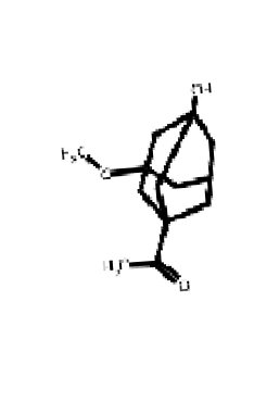 COC12CC3CC(O)(C1)CC(C(C)=O)(C3)C2